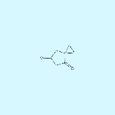 O=C1CC(=O)C2(CC2)C1